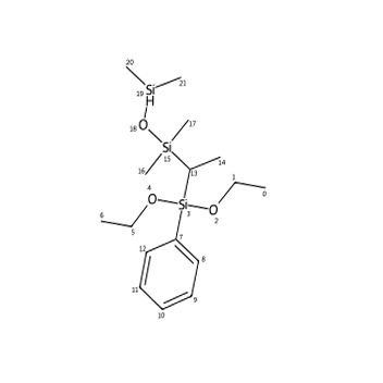 CCO[Si](OCC)(c1ccccc1)C(C)[Si](C)(C)O[SiH](C)C